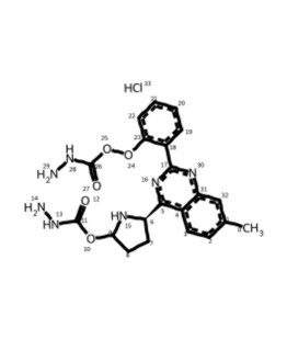 Cc1ccc2c([C@H]3CCC(OC(=O)NN)N3)nc(-c3ccccc3OOC(=O)NN)nc2c1.Cl